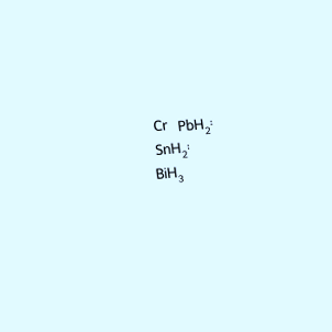 [BiH3].[Cr].[PbH2].[SnH2]